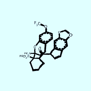 NC1(C2(C(=O)O)CCCCC2C(=O)C2C=Cc3cc4c(cc32)OCO4)CCc2ccc(OC(F)(F)F)cc2O1